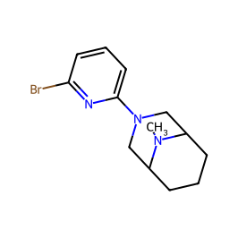 CN1C2CCCC1CN(c1cccc(Br)n1)C2